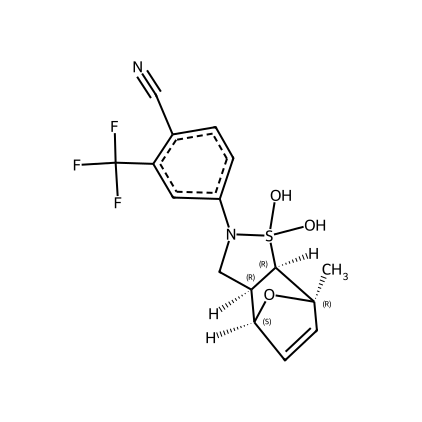 C[C@]12C=C[C@H](O1)[C@H]1CN(c3ccc(C#N)c(C(F)(F)F)c3)S(O)(O)[C@H]12